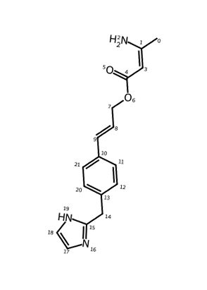 CC(N)=CC(=O)OCC=Cc1ccc(Cc2ncc[nH]2)cc1